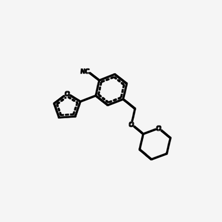 N#Cc1ccc(COC2CCCCO2)cc1-c1ccco1